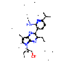 CCc1nc2c(nc1-c1ccc(C(C)C)nc1NC)c(C)cn2[C@H](CC)CO